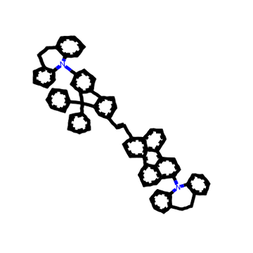 C(=C\c1ccc2c3cccc4c(N5c6ccccc6CCc6ccccc65)ccc(c5cccc1c25)c43)/c1ccc2c(c1)C(c1ccccc1)(c1ccccc1)c1cc(N3c4ccccc4CCc4ccccc43)ccc1-2